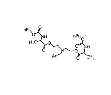 CCCOC(=O)NC(C)C(=O)OCCN(CCOC(=O)C(C)NC(=O)OCCC)CC(C)=O